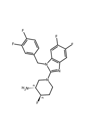 N[C@@H]1CN(c2nc3cc(F)c(F)cc3n2Cc2ccc(F)c(F)c2)CC[C@H]1F